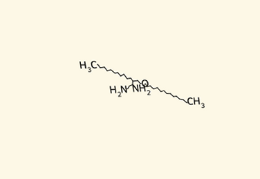 CCCCCCCCCCCCCCOCCC(CCCCCCCCCCCC)C(N)CCN